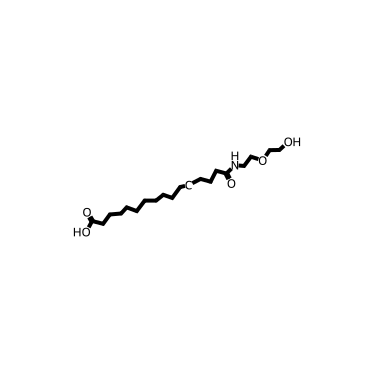 O=C(O)CCCCCCCCCCCCCCC(=O)NCCOCCO